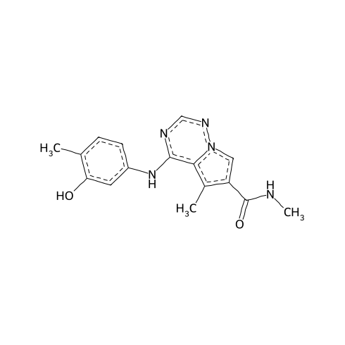 CNC(=O)c1cn2ncnc(Nc3ccc(C)c(O)c3)c2c1C